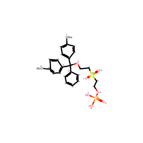 COc1ccc(C(OCCS(=O)(=O)CCOP(=O)(O)O)(c2ccccc2)c2ccc(OC)cc2)cc1